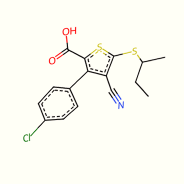 CCC(C)Sc1sc(C(=O)O)c(-c2ccc(Cl)cc2)c1C#N